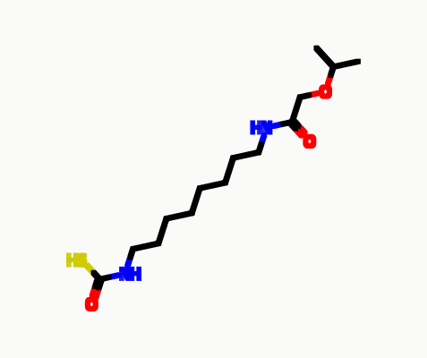 CC(C)OCC(=O)NCCCCCCCCNC(=O)S